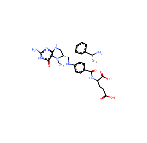 CN1c2c(nc(N)[nH]c2=O)NC[C@@H]1CNc1ccc(C(=O)NC(CCC(=O)O)C(=O)O)cc1.C[C@@H](N)c1ccccc1